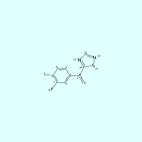 C=C(c1ccc(C)c(F)c1)c1ncns1